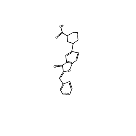 O=C1/C(=C/c2ccccc2)Oc2ccc(C3CCCC(C(=O)O)C3)cc21